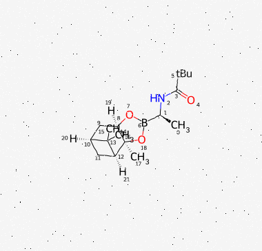 C[C@H](NC(=O)C(C)(C)C)B1O[C@@H]2C[C@@H]3C[C@@H](C3(C)C)[C@]2(C)O1